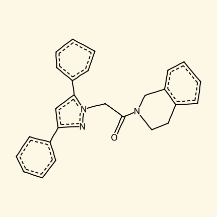 O=C(Cn1nc(-c2ccccc2)cc1-c1ccccc1)N1CCc2ccccc2C1